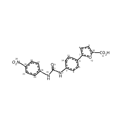 O=C(Nc1ccc(-c2ccc(C(=O)O)o2)cc1)Nc1ccc([N+](=O)[O-])cc1